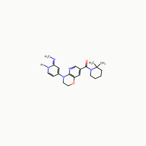 C/N=c1/cc(N2CCOc3cc(C(=O)N4CCCCC4(C)C)cnc32)ccn1C(C)=O